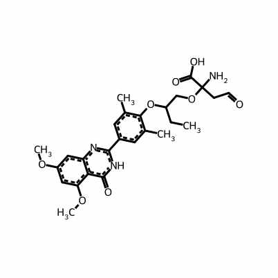 CCC(COC(N)(CC=O)C(=O)O)Oc1c(C)cc(-c2nc3cc(OC)cc(OC)c3c(=O)[nH]2)cc1C